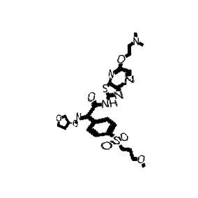 COCCCS(=O)(=O)c1ccc(/C(=N\O[C@@H]2CCOC2)C(=O)Nc2nc3ncc(OCCN(C)C)nc3s2)cc1